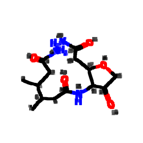 CC(CC(N)=O)C(C)CC(=O)NC1C(=O)COC1CC(N)=O